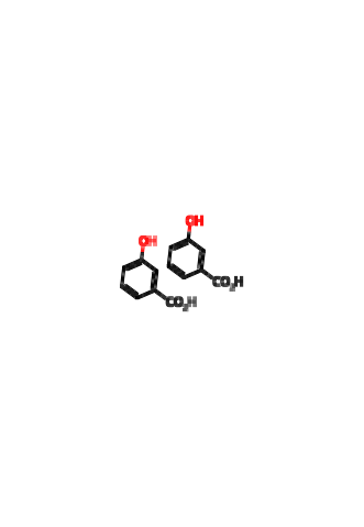 O=C(O)c1cccc(O)c1.O=C(O)c1cccc(O)c1